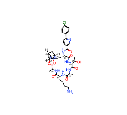 C[C@H](NC(=O)[C@H](CCCCN)NC(=O)[C@H](C)NC(=O)[C@@H](NC(=O)[C@H](CCN)NC(=O)c1ccc(-c2ccc(Cl)cc2)nc1)[C@@H](C)O)B1O[C@@H]2C[C@@H]3C[C@@H](C3(C)C)[C@]2(C)O1